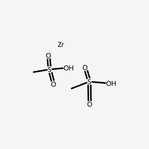 CS(=O)(=O)O.CS(=O)(=O)O.[Zr]